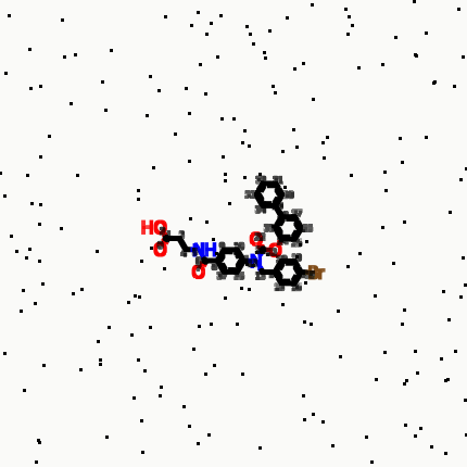 O=C(O)CCNC(=O)c1ccc(N(Cc2ccc(Br)cc2)C(=O)Oc2cccc(-c3ccccc3)c2)cc1